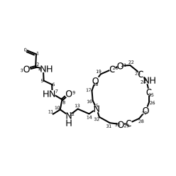 C=CC(=O)NCCNC(=O)C(C)NCCN1CCOCCOCCNCCOCCOCC1